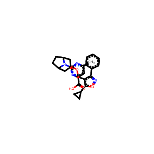 Cc1cc(C(=O)O)nc(N2C3CCC2CC(OCc2c(-c4ccccc4F)noc2C2CC2)C3)n1